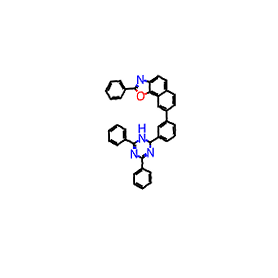 c1ccc(C2=NC(c3cccc(-c4ccc5ccc6nc(-c7ccccc7)oc6c5c4)c3)NC(c3ccccc3)=N2)cc1